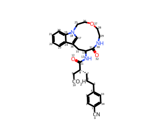 N#Cc1ccc(CCC[C@H](CC(=O)O)C(=O)NC2Cc3cn(c4ccccc34)CCOCCNC2=O)cc1